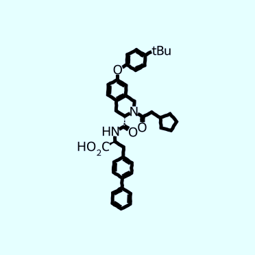 CC(C)(C)c1ccc(Oc2ccc3c(c2)CN(C(=O)CC2CCCC2)[C@H](C(=O)N[C@@H](Cc2ccc(-c4ccccc4)cc2)C(=O)O)C3)cc1